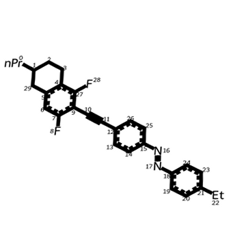 CCCC1CCc2c(cc(F)c(C#Cc3ccc(N=Nc4ccc(CC)cc4)cc3)c2F)C1